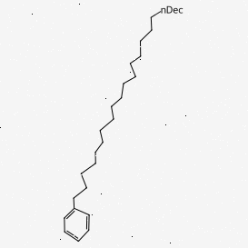 CCCCCCCCCCCCCCCCCCCCCCCCCCCc1[c]cccc1